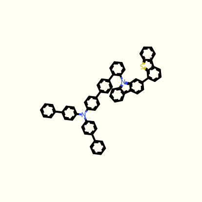 c1ccc(-c2ccc(N(c3ccc(-c4ccccc4)cc3)c3ccc(-c4ccc(-c5ccccc5-n5c6ccccc6c6ccc(-c7cccc8c7sc7ccccc78)cc65)cc4)cc3)cc2)cc1